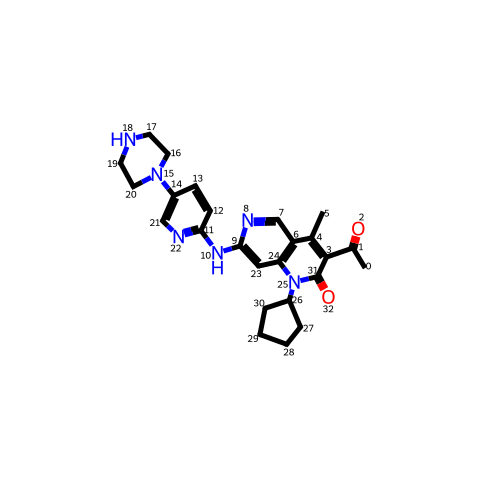 CC(=O)c1c(C)c2cnc(Nc3ccc(N4CCNCC4)cn3)cc2n(C2CCCC2)c1=O